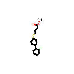 COC(=O)CCCSc1ccc(-c2ccccc2Cl)cc1